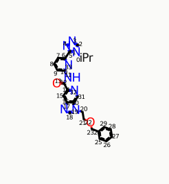 CC(C)n1cnnc1-c1cccc(NC(=O)c2cc3ncn(CCOCc4ccccc4)c3cn2)n1